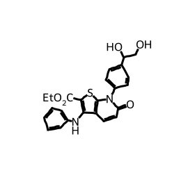 CCOC(=O)c1sc2c(ccc(=O)n2-c2ccc(C(O)CO)cc2)c1Nc1ccccc1